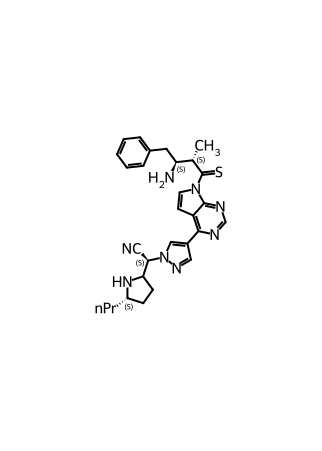 CCC[C@H]1CCC([C@@H](C#N)n2cc(-c3ncnc4c3ccn4C(=S)[C@@H](C)[C@@H](N)Cc3ccccc3)cn2)N1